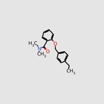 CCc1ccc(COc2ccccc2C(=O)N(C)C)cc1